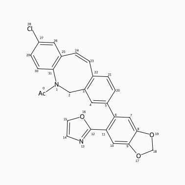 CC(=O)N1Cc2cc(-c3cc4c(cc3-c3ncco3)OCO4)ccc2/C=C\c2cc(Cl)ccc21